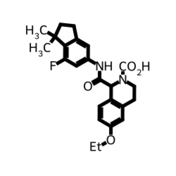 CCOc1ccc2c(c1)CCN(C(=O)O)C2C(=O)Nc1cc(F)c2c(c1)CCC2(C)C